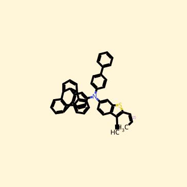 C#Cc1c(/C=C\C)sc2cc(N(c3c#cc4c(c3)-c3c5cccc3-c3cccc-4c3-c3ccccc3-5)c3ccc(-c4ccccc4)cc3)ccc12